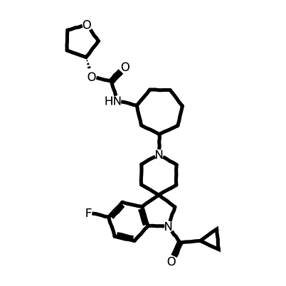 O=C(NC1CCCCC(N2CCC3(CC2)CN(C(=O)C2CC2)c2ccc(F)cc23)C1)O[C@@H]1CCOC1